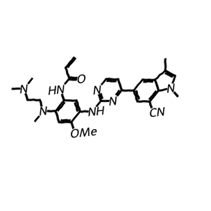 C=CC(=O)Nc1cc(Nc2nccc(-c3cc(C#N)c4c(c3)c(C)cn4C)n2)c(OC)cc1N(C)CCN(C)C